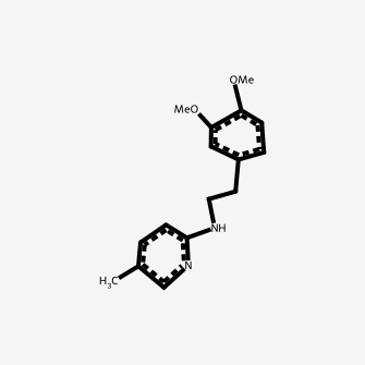 COc1ccc(CCNc2ccc(C)cn2)cc1OC